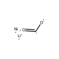 O=C[O-].[Li+].[Ni]